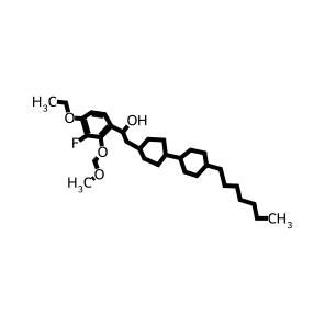 CCCCCCCC1CCC(C2CCC(CC(O)c3ccc(OCC)c(F)c3OCOC)CC2)CC1